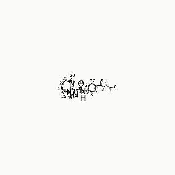 CCC/C=C(\C)c1ccc(NC(=O)c2ncn3c2/N=C(/C)CC/C=C\3C)cc1